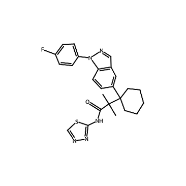 CC(C)(C(=O)Nc1nncs1)C1(c2ccc3c(cnn3-c3ccc(F)cc3)c2)CCCCC1